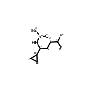 CC(C)(C)[S+]([O-])N[C@@H](CCC(F)F)C1CC1